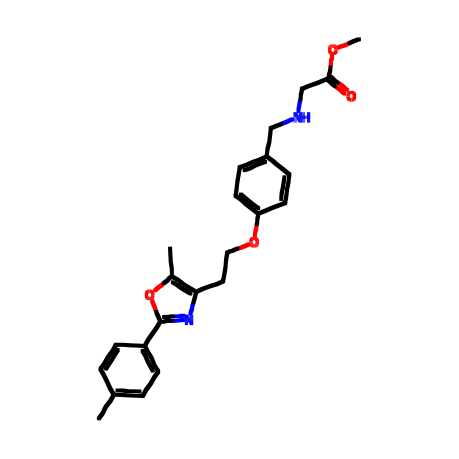 COC(=O)CNCc1ccc(OCCc2nc(-c3ccc(C)cc3)oc2C)cc1